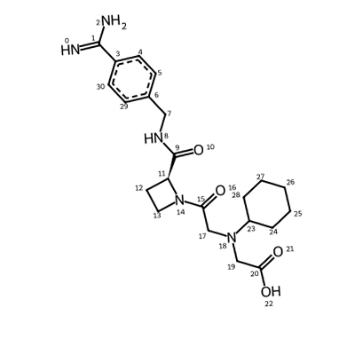 N=C(N)c1ccc(CNC(=O)[C@@H]2CCN2C(=O)CN(CC(=O)O)C2CCCCC2)cc1